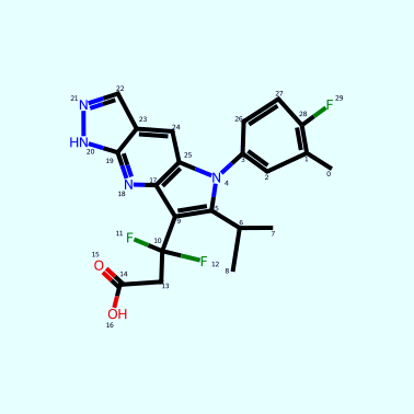 Cc1cc(-n2c(C(C)C)c(C(F)(F)CC(=O)O)c3nc4[nH]ncc4cc32)ccc1F